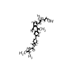 C=C(c1ccc(N2CCC3(CC2)CN(C(=O)NC(C)C)C3)nc1)c1c(C#N)cnn1/C=C(\C)OCCO